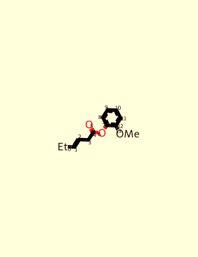 CCC=CCC(=O)Oc1ccccc1OC